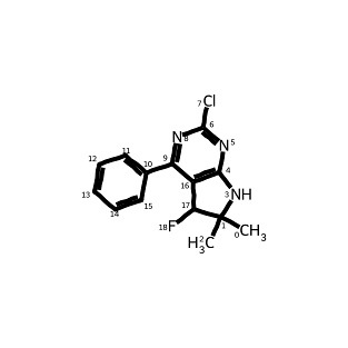 CC1(C)Nc2nc(Cl)nc(-c3ccccc3)c2C1F